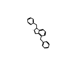 [C]1=Cc2c(Cc3ccccc3)cccc2C1Cc1ccccc1